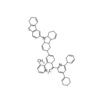 C=C(c1cc(C2=CCCCC2)cc(C2C=CC=CC2)n1)C1CC=C(C2C=CC3C(C2)C2C=CCCC2N3c2ccc3sc4c(c3c2)C=CCC4)C=C1c1ccccc1C